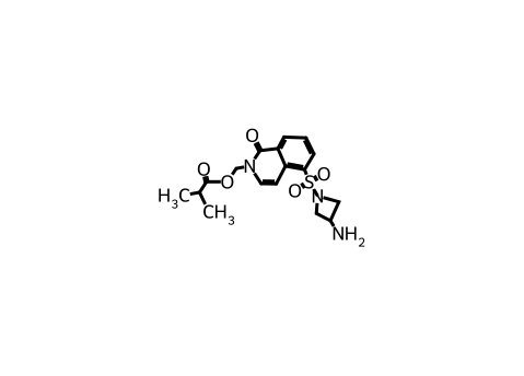 CC(C)C(=O)OCn1ccc2c(S(=O)(=O)N3CC(N)C3)cccc2c1=O